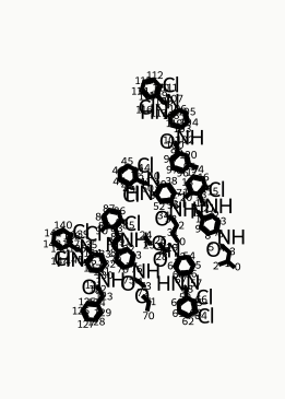 CC(C)CC(=O)Nc1ccc2nc(-c3c(Cl)cccc3Cl)[nH]c2c1.CCOC(=O)N(CCCC(=O)Nc1ccc2nc(-c3c(Cl)cccc3Cl)[nH]c2c1)c1ccc2nc(-c3cccc(Cl)c3Cl)[nH]c2c1.CCOCC(=O)Nc1ccc2nc(-c3c(Cl)cccc3Cl)[nH]c2c1.Cc1cccc(C(=O)Nc2ccc3nc(-c4c(Cl)cccc4Cl)[nH]c3c2)c1.O=C(Cc1ccccc1)Nc1ccc2nc(-c3c(Cl)cccc3Cl)[nH]c2c1